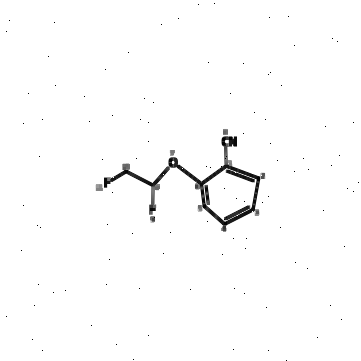 N#Cc1ccccc1OC(F)CF